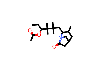 CCC(OC(C)=O)C(C)(C)C(C)(C)CC1C(C)CC2CC(=O)N1C2